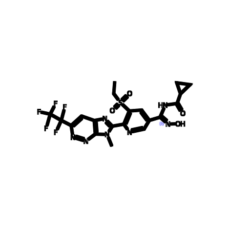 CCS(=O)(=O)c1cc(/C(=N/O)NC(=O)C2CC2)cnc1-c1nc2cc(C(F)(F)C(F)(F)F)nnc2n1C